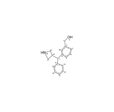 OCc1cccc(C(c2ccccc2)C2CNC2)c1